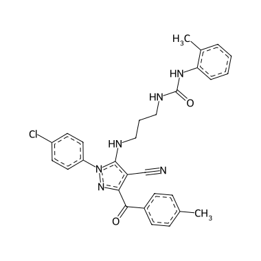 Cc1ccc(C(=O)c2nn(-c3ccc(Cl)cc3)c(NCCCNC(=O)Nc3ccccc3C)c2C#N)cc1